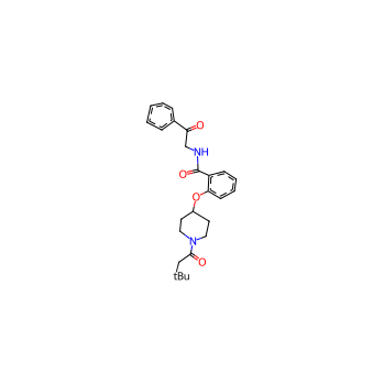 CC(C)(C)CC(=O)N1CCC(Oc2ccccc2C(=O)NCC(=O)c2ccccc2)CC1